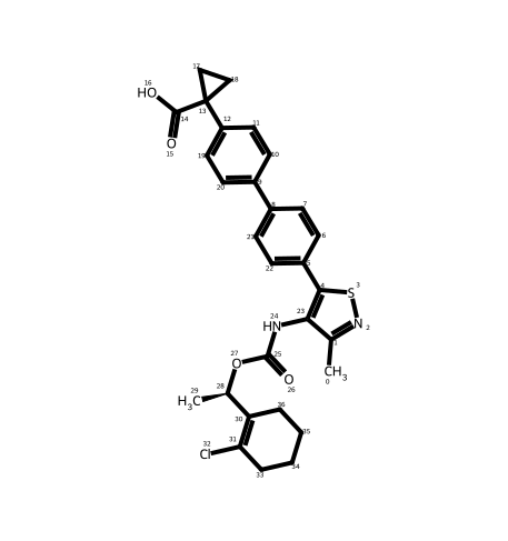 Cc1nsc(-c2ccc(-c3ccc(C4(C(=O)O)CC4)cc3)cc2)c1NC(=O)O[C@H](C)C1=C(Cl)CCCC1